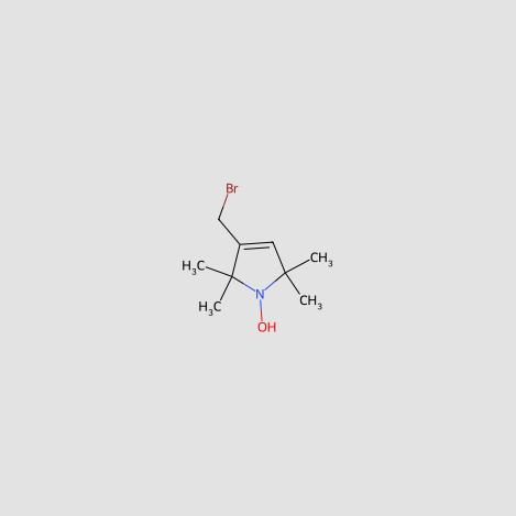 CC1(C)C=C(CBr)C(C)(C)N1O